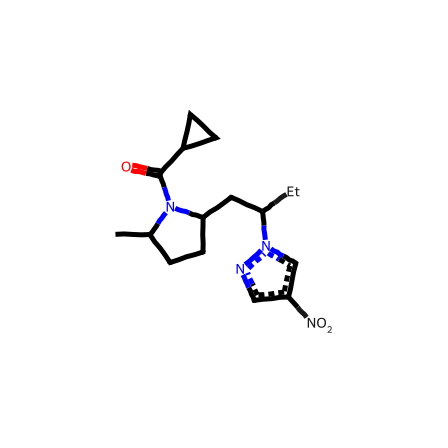 CCC(CC1CCC(C)N1C(=O)C1CC1)n1cc([N+](=O)[O-])cn1